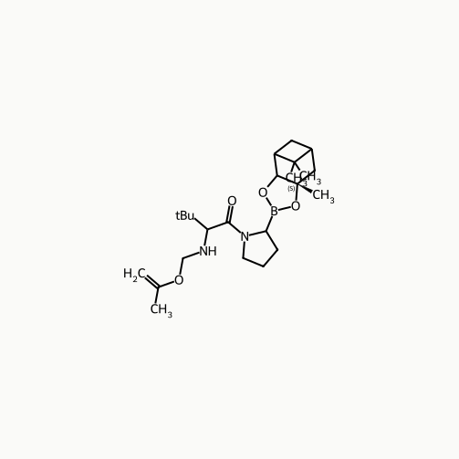 C=C(C)OCNC(C(=O)N1CCCC1B1OC2C3CC(C[C@]2(C)O1)C3(C)C)C(C)(C)C